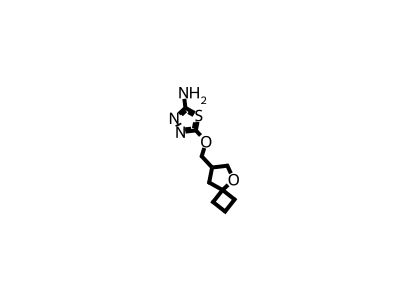 Nc1nnc(OCC2COC3(CCC3)C2)s1